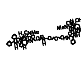 CN[C@@H](C)C(=O)NC1C(=O)N2[C@@H](CC[C@@H]1CO)CC[C@H]2C(=O)N[C@H](C(=O)NCCOCCOCCOCCNC(=O)COCC(=O)NC[C@H]1CC[C@H]2CC[C@@H](C(=O)NC(c3ccccc3)c3ccccc3)N2C(=O)[C@H]1NC(=O)[C@H](C)NC)c1ccccc1